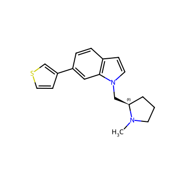 CN1CCC[C@@H]1Cn1ccc2ccc(-c3ccsc3)cc21